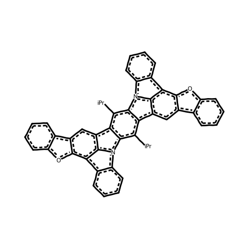 CC(C)c1c2c3cc4c5ccccc5oc4c4c5ccccc5n(c2c(C(C)C)c2c5cc6c7ccccc7oc6c6c7ccccc7n(c12)c56)c34